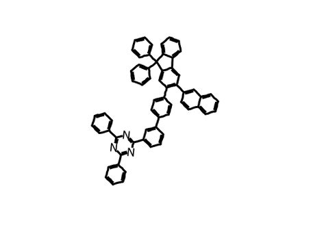 c1ccc(-c2nc(-c3ccccc3)nc(-c3cccc(-c4ccc(-c5cc6c(cc5-c5ccc7ccccc7c5)-c5ccccc5C6(c5ccccc5)c5ccccc5)cc4)c3)n2)cc1